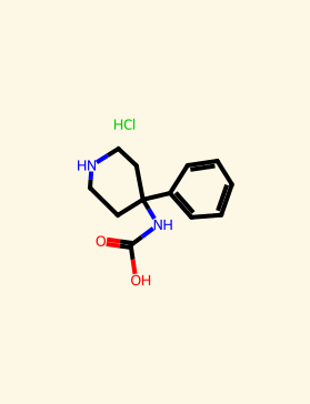 Cl.O=C(O)NC1(c2ccccc2)CCNCC1